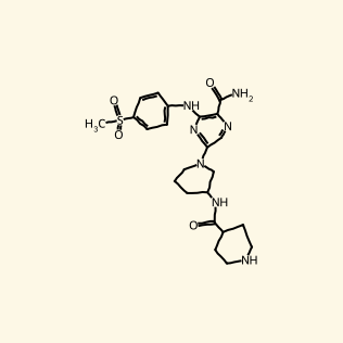 CS(=O)(=O)c1ccc(Nc2nc(N3CCCC(NC(=O)C4CCNCC4)C3)cnc2C(N)=O)cc1